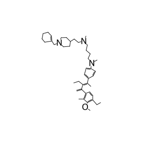 C=C(/C(CC)=C(\C)c1ccc(N(C)CCCCN(C)CCC2CCN(CC3=CCCCC3)CC2)cc1)c1ccc(CC)c(OC)c1C